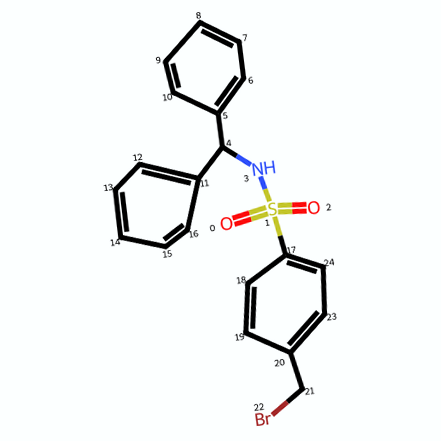 O=S(=O)(NC(c1ccccc1)c1ccccc1)c1ccc(CBr)cc1